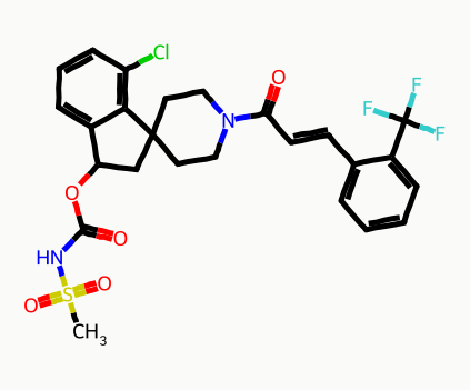 CS(=O)(=O)NC(=O)OC1CC2(CCN(C(=O)/C=C/c3ccccc3C(F)(F)F)CC2)c2c(Cl)cccc21